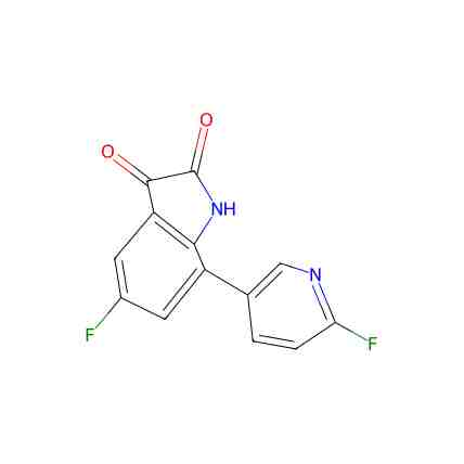 O=C1Nc2c(cc(F)cc2-c2ccc(F)nc2)C1=O